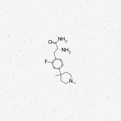 CN1CCC(C)(c2ccc(C[C@@H](N)C(N)=O)c(F)c2)CC1